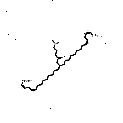 C=C(CCCN(C)C)CC(CCCCCCCC/C=C\C/C=C\CCCCC)CCCCCCCC/C=C\C/C=C\CCCCC